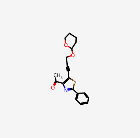 CC(=O)c1nc(-c2ccccc2)sc1C#CCOC1CCCCO1